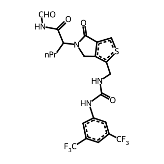 CCCC(C(=O)NC=O)N1Cc2c(csc2CNC(=O)Nc2cc(C(F)(F)F)cc(C(F)(F)F)c2)C1=O